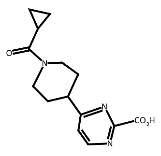 O=C(O)c1nccc(C2CCN(C(=O)C3CC3)CC2)n1